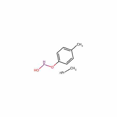 CCCC.Cc1ccc(OPO)cc1